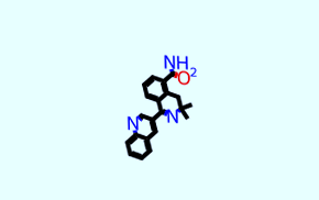 CC1(C)Cc2c(C(N)=O)cccc2C(c2cnc3ccccc3c2)=N1